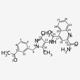 CC(=O)c1cccc(Cn2nc(C)c(NC(=O)c3cc(C(N)=O)nc4ccccc34)c2C)c1